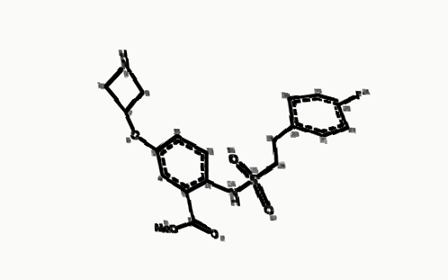 COC(=O)c1cc(OC2CNC2)ccc1NS(=O)(=O)CCc1ccc(F)cc1